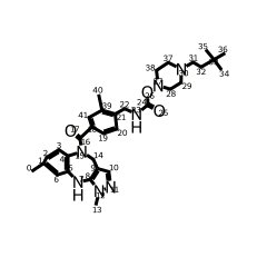 Cc1ccc2c(c1)Nc1c(cnn1C)CN2C(=O)c1ccc(CNC(=O)ON2CCN(CCC(C)(C)C)CC2)c(C)c1